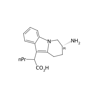 CCCC(C(=O)O)c1c2n(c3ccccc13)C[C@H](N)CC2